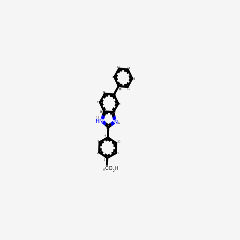 O=C(O)c1ccc(-c2nc3cc(-c4ccccc4)ccc3[nH]2)cc1